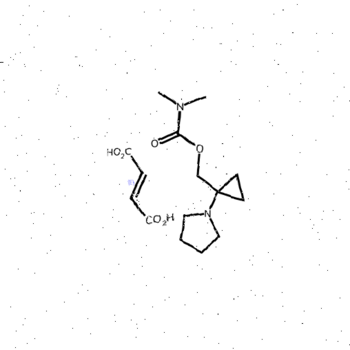 CN(C)C(=O)OCC1(N2CCCC2)CC1.O=C(O)/C=C/C(=O)O